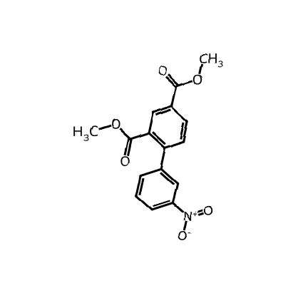 COC(=O)c1ccc(-c2cccc([N+](=O)[O-])c2)c(C(=O)OC)c1